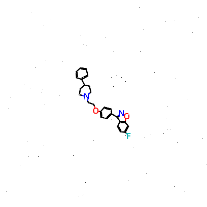 Fc1ccc2c(-c3ccc(OCCN4CCC(c5ccccc5)CC4)cc3)noc2c1